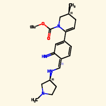 C[C@H]1CC=C(C2=CC(=N)/C(=C\N[C@H]3CCN(C)C3)C=C2)N(C(=O)OC(C)(C)C)C1